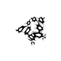 Cc1ccc(N(c2ccc(C)cc2)c2ccc(-c3cc(S(C)(C)C)cc4c3oc3c(-c5ccc(N(c6ccc(C)cc6)c6ccc(C)cc6)cc5)cc(S(C)(C)C)cc34)cc2)cc1